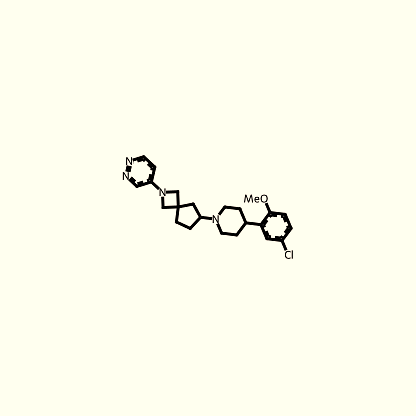 COc1ccc(Cl)cc1C1CCN(C2CCC3(C2)CN(c2ccnnc2)C3)CC1